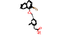 Cc1cc(COc2c(Br)ccc3ccccc23)ccc1CC(=O)O